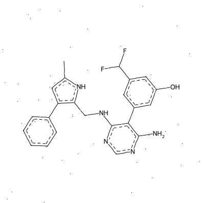 Cc1cc(-c2ccccc2)c(CNc2ncnc(N)c2-c2cc(O)cc(C(F)F)c2)[nH]1